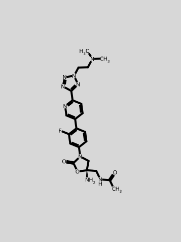 CC(=O)NC[C@@]1(N)CN(c2ccc(-c3ccc(-c4nnn(CCN(C)C)n4)nc3)c(F)c2)C(=O)O1